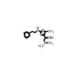 Cc1nc(NCCc2ccccc2)sc1C(=C=O)CN(C)C